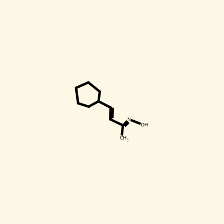 CC(C=CC1CCCCC1)=NO